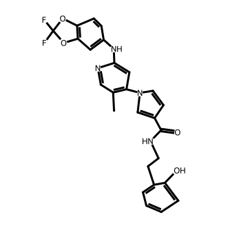 Cc1cnc(Nc2ccc3c(c2)OC(F)(F)O3)cc1-n1ccc(C(=O)NCCc2ccccc2O)c1